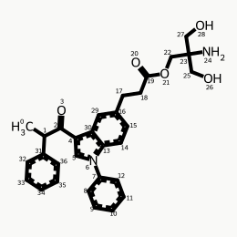 CC(C(=O)c1cn(-c2ccccc2)c2ccc(CCC(=O)OCC(N)(CO)CO)cc12)c1ccccc1